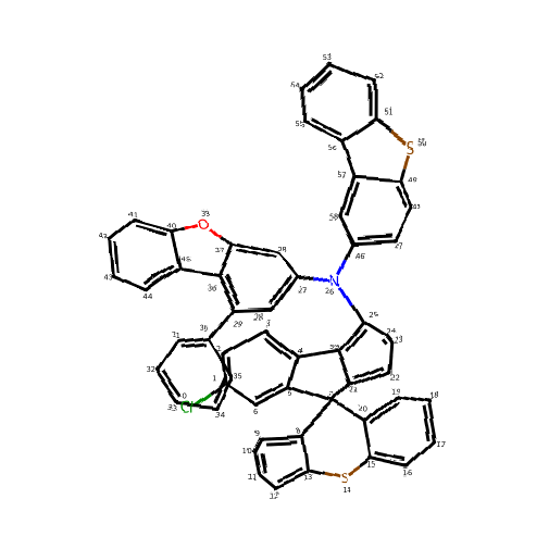 Clc1ccc2c(c1)C1(c3ccccc3Sc3ccccc31)c1cccc(N(c3cc(-c4ccccc4)c4c(c3)oc3ccccc34)c3ccc4sc5ccccc5c4c3)c1-2